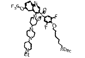 CCCCCCCCCCCCCCCCOc1c(F)cc(S(=O)(=O)c2cnc3ccc(OC(F)(F)F)cc3c2N2CCC(N3CCN(C4CCN(CC)CC4)CC3)CC2)cc1F